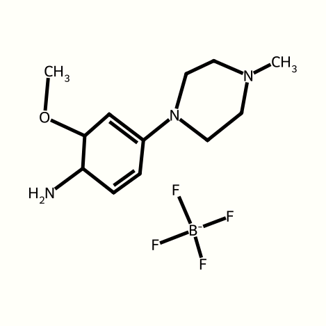 COC1C=C(N2CCN(C)CC2)C=CC1N.F[B-](F)(F)F